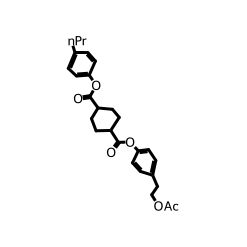 CCCc1ccc(OC(=O)C2CCC(C(=O)Oc3ccc(CCOC(C)=O)cc3)CC2)cc1